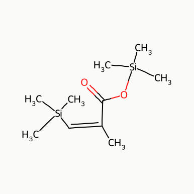 CC(=C[Si](C)(C)C)C(=O)O[Si](C)(C)C